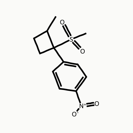 CC1CCC1(c1ccc([N+](=O)[O-])cc1)S(C)(=O)=O